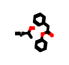 CC(O)C(=O)O.O=C(Cc1ccccc1)Oc1ccccc1